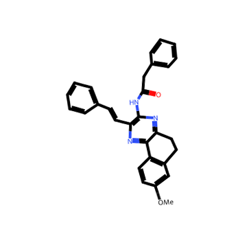 COc1ccc2c(c1)CCc1nc(NC(=O)Cc3ccccc3)c(/C=C/c3ccccc3)nc1-2